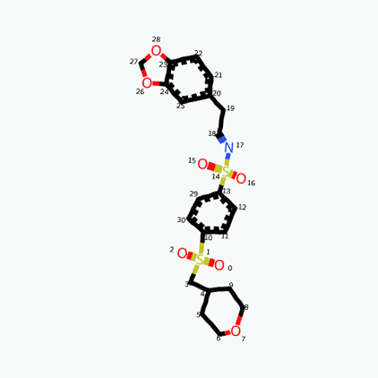 O=S(=O)(CC1CCOCC1)c1ccc(S(=O)(=O)/N=C/Cc2ccc3c(c2)OCO3)cc1